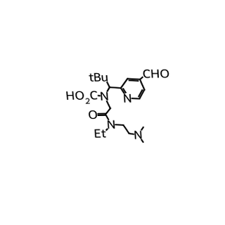 CCN(CCN(C)C)C(=O)CN(C(=O)O)C(c1cc(C=O)ccn1)C(C)(C)C